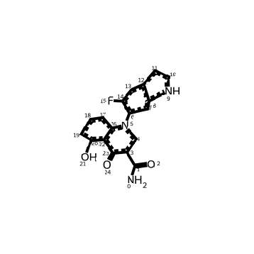 NC(=O)c1cn(-c2cc3[nH]ccc3cc2F)c2cccc(O)c2c1=O